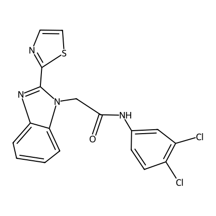 O=C(Cn1c(-c2nccs2)nc2ccccc21)Nc1ccc(Cl)c(Cl)c1